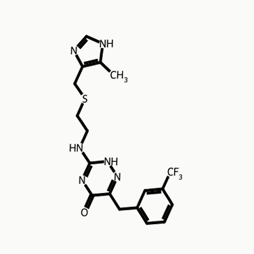 Cc1[nH]cnc1CSCCNc1nc(=O)c(Cc2cccc(C(F)(F)F)c2)n[nH]1